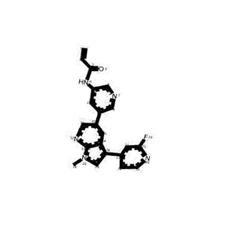 C=CC(=O)Nc1cncc(-c2cnc3c(c2)c(-c2ccnc(F)c2)cn3C)c1